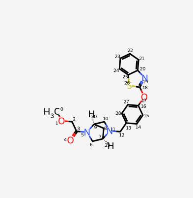 COCC(=O)N1C[C@H]2C[C@@H]1CN2Cc1ccc(Oc2nc3ccccc3s2)cc1